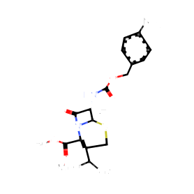 COC(OC(C)=O)C1=C(C(=O)OC(C)(C)C)N2C(=O)[C@H](NC(=O)OCc3ccc([N+](=O)[O-])cc3)[C@H]2SC1